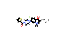 CCn1cc(C(=O)O)c(=O)c2cc(F)c(N3CCN(C(=O)c4cccs4)CC3)cc21